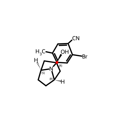 Cc1cc(C#N)c(Br)cc1N1[C@@H]2CC[C@H]1C[C@@H](O)C2